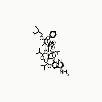 CCC(CC)COC(=O)[C@H](C)N[P@](=O)(OC[C@@]1(CF)O[C@@H](c2ccc3c(N)ccnn23)[C@H](OC(=O)C(C)C)[C@@H]1OC(=O)C(C)C)Oc1ccccc1